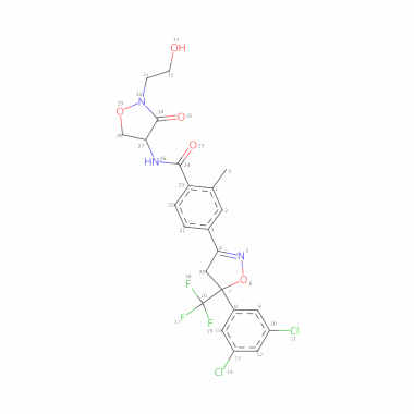 Cc1cc(C2=NOC(c3cc(Cl)cc(Cl)c3)(C(F)(F)F)C2)ccc1C(=O)NC1CON(CCO)C1=O